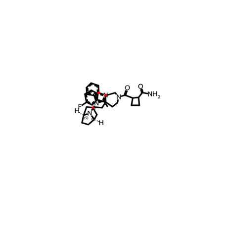 Cc1nc2ccccc2n1[C@H]1C[C@H]2CC[C@@H](C1)N2CCC1(c2cccc(F)c2)CCN(C(=O)C2CCC2C(N)=O)CC1